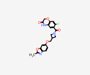 Cc1nc2ccc(OCC3CN(C(=O)c4cc5c(cc4F)OCC(=O)N5)C3)cc2o1